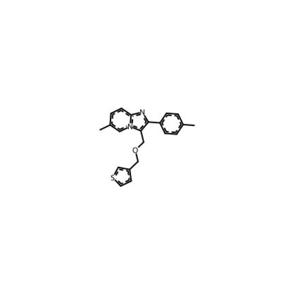 Cc1ccc(-c2nc3ccc(C)cn3c2COCc2ccsc2)cc1